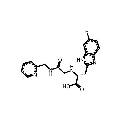 O=C(CN[C@H](Cc1nc2ccc(F)cc2[nH]1)C(=O)O)NCc1ccccn1